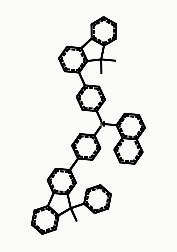 CC1(C)c2ccccc2-c2cccc(-c3ccc(N(c4ccc(-c5ccc6c(c5)C(C)(c5ccccc5)c5ccccc5-6)cc4)c4cccc5ccccc45)cc3)c21